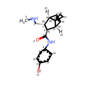 CNC[C@H]1[C@H](C(=O)Nc2ccc(Br)cc2)[C@@H]2C=C[C@H]1C21CC1